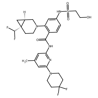 Cc1cc(NC(=O)c2ccc(NS(=O)(=O)CCO)cc2N2CC[C@@]3(C(F)F)C[C@H]3C2)nc(N2CCC(F)(F)CC2)c1